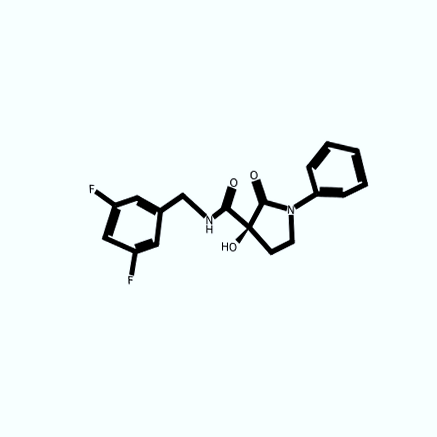 O=C(NCc1cc(F)cc(F)c1)[C@@]1(O)CCN(c2ccccc2)C1=O